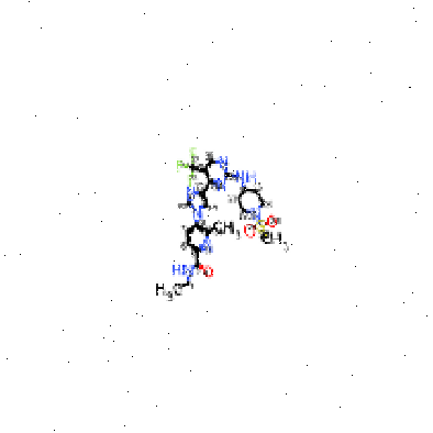 CCNC(=O)c1ccc(-n2cnc(-c3nc(NC4CCN(S(C)(=O)=O)CC4)ncc3C(F)(F)F)c2)c(C)n1